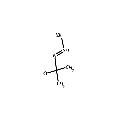 CCC(C)(C)/N=[SH]/C(C)(C)C